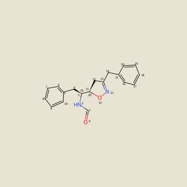 O=CN[C@@H](Cc1ccccc1)[C@H]1CC(Cc2ccccc2)=NO1